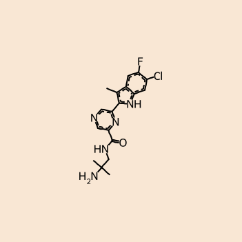 Cc1c(-c2cncc(C(=O)NCC(C)(C)N)n2)[nH]c2cc(Cl)c(F)cc12